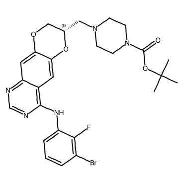 CC(C)(C)OC(=O)N1CCN(C[C@H]2COc3cc4ncnc(Nc5cccc(Br)c5F)c4cc3O2)CC1